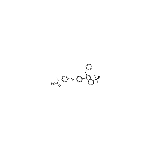 CC(C(=O)O)c1ccc(COc2ccc(-c3c4cccc(C(F)(F)F)c4nn3Cc3ccccc3)cc2)cc1